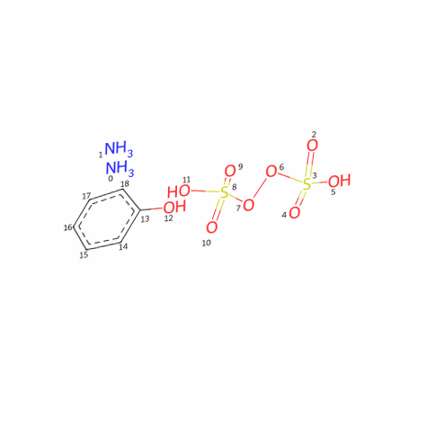 N.N.O=S(=O)(O)OOS(=O)(=O)O.Oc1ccccc1